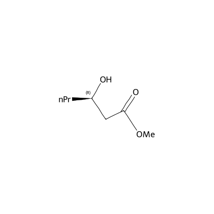 CCC[C@@H](O)CC(=O)OC